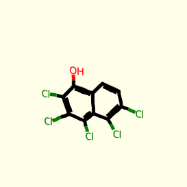 Oc1c(Cl)c(Cl)c(Cl)c2c(Cl)c(Cl)ccc12